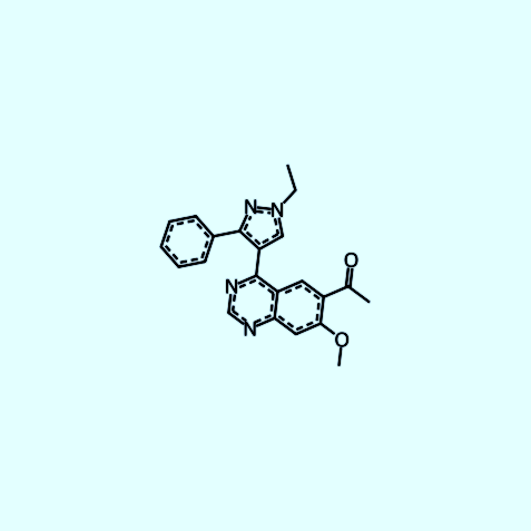 CCn1cc(-c2ncnc3cc(OC)c(C(C)=O)cc23)c(-c2ccccc2)n1